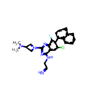 CN(C)C1CN(c2nc(NCC=N)c3cc(Cl)c(-c4cccc5ccccc45)c(F)c3n2)C1